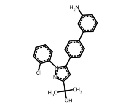 CC(C)(O)c1cc(-c2ccc(-c3cccc(N)c3)cc2)n(-c2ccccc2Cl)n1